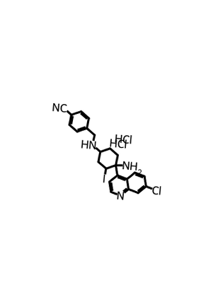 Cl.Cl.N#Cc1ccc(CNC2CCC(N)(c3ccnc4cc(Cl)ccc34)C(I)C2)cc1